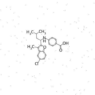 Cc1c(C(CC(C)C)Nc2ccc(C(=O)O)cc2)oc2ccc(Cl)cc12